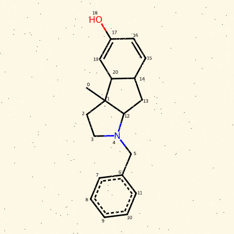 CC12CCN(Cc3ccccc3)C1CC1C=CC(O)=CC12